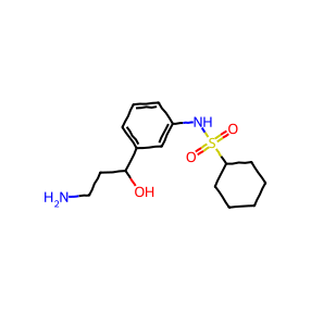 NCCC(O)c1cccc(NS(=O)(=O)C2CCCCC2)c1